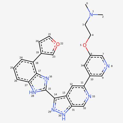 CN(C)CCOc1cncc(-c2cc3c(-c4nc5c(-c6ccoc6)cccc5[nH]4)n[nH]c3cn2)c1